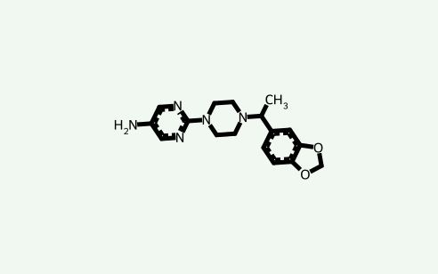 CC(c1ccc2c(c1)OCO2)N1CCN(c2ncc(N)cn2)CC1